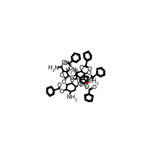 C[C@H](N)C1OC(OC2C(OC(=O)c3ccccc3)C(N)CC(N)C2OC2OC([C@@H](C)OC(=O)c3ccccc3)C(OC(=O)c3ccccc3)C(OC(=O)c3ccccc3)C2N)C(OC(=O)c2ccccc2)C1OC(=O)c1ccccc1